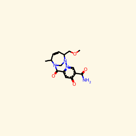 COCC1C=CC(C)N2CN1n1cc(C(N)=O)c(=O)cc1C2=O